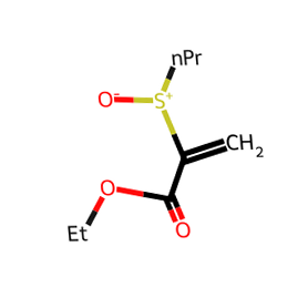 C=C(C(=O)OCC)[S+]([O-])CCC